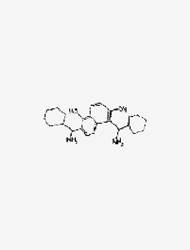 NC(c1ccc2c(C(N)C3CCCCC3)c(O)ccc2c1O)C1CCCCC1